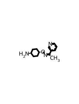 CC(=NO[C@H]1CC[C@H](N)CC1)c1cccnc1